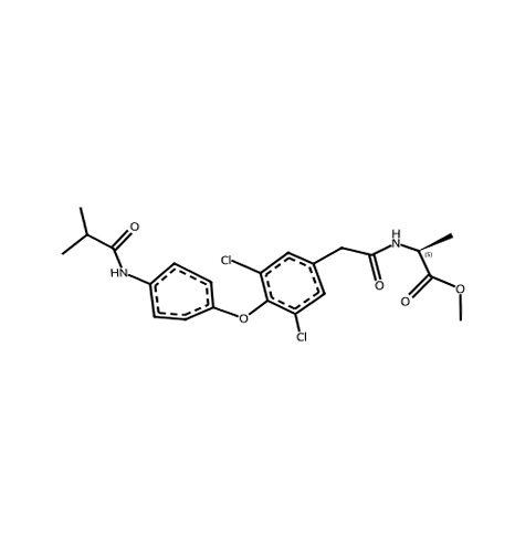 COC(=O)[C@H](C)NC(=O)Cc1cc(Cl)c(Oc2ccc(NC(=O)C(C)C)cc2)c(Cl)c1